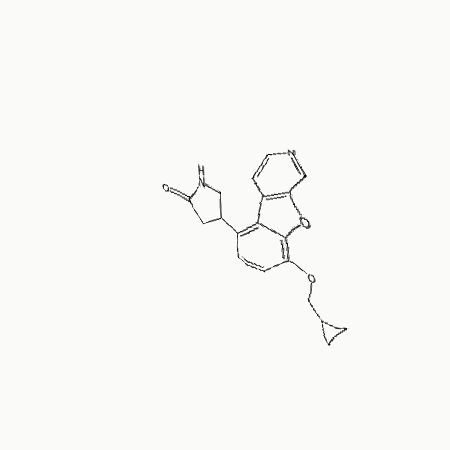 O=C1CC(c2ccc(OCC3CC3)c3oc4cnccc4c23)CN1